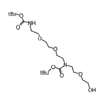 CC(C)(C)OC(=O)NCCOCCOCCN(CCOCCO)C(=O)OC(C)(C)C